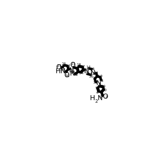 NC(=O)c1ccc(N2CCC(CN3CCN(c4ccc5c(=O)n([C@@H]6CCC(=O)NC6=O)ncc5c4)CC3)CC2)cc1